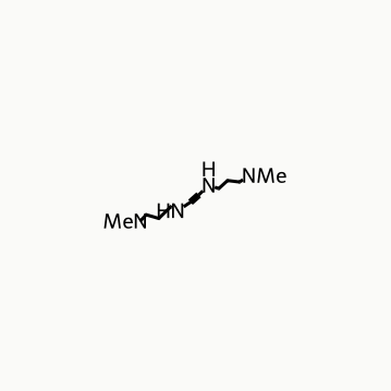 CNCCCNC#CNCCCNC